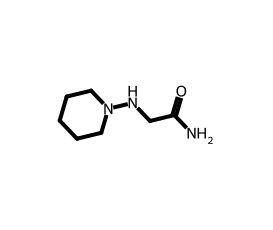 NC(=O)CNN1CCCCC1